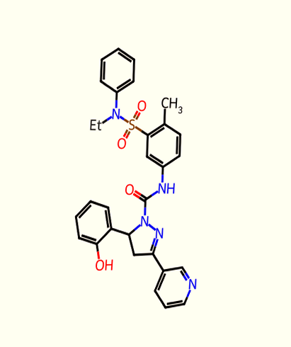 CCN(c1ccccc1)S(=O)(=O)c1cc(NC(=O)N2N=C(c3cccnc3)CC2c2ccccc2O)ccc1C